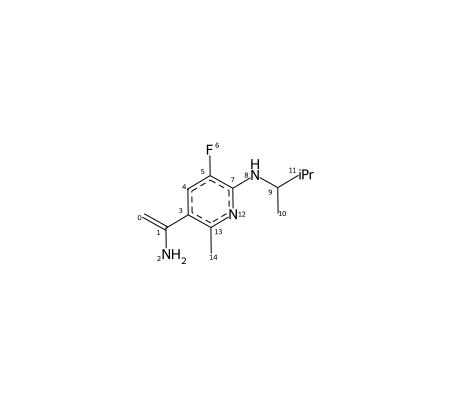 C=C(N)c1cc(F)c(NC(C)C(C)C)nc1C